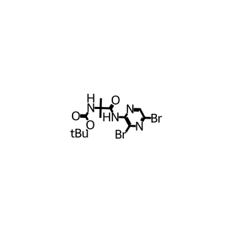 CC(C)(C)OC(=O)NC(C)(C)C(=O)Nc1ncc(Br)nc1Br